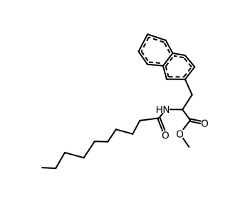 CCCCCCCCCC(=O)NC(Cc1ccc2ccccc2c1)C(=O)OC